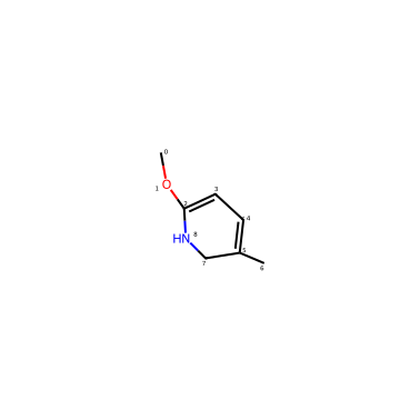 COC1=C[C]=C(C)CN1